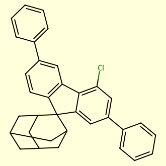 Clc1cc(-c2ccccc2)cc2c1-c1cc(-c3ccccc3)ccc1C21C2CC3CC(C2)CC1C3